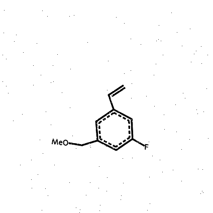 C=Cc1cc(F)cc(COC)c1